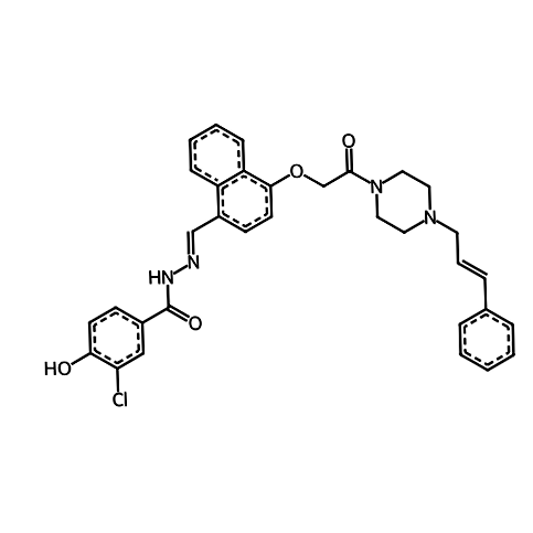 O=C(N/N=C/c1ccc(OCC(=O)N2CCN(C/C=C/c3ccccc3)CC2)c2ccccc12)c1ccc(O)c(Cl)c1